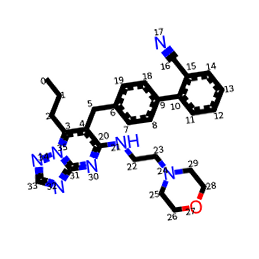 CCCc1c(Cc2ccc(-c3ccccc3C#N)cc2)c(NCCN2CCOCC2)nc2ncnn12